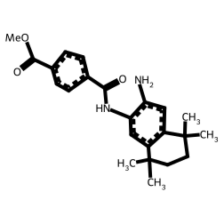 COC(=O)c1ccc(C(=O)Nc2cc3c(cc2N)C(C)(C)CCC3(C)C)cc1